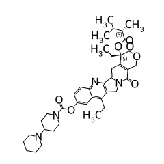 CCc1c2c(nc3ccc(OC(=O)N4CCC(N5CCCCC5)CC4)cc13)-c1cc3c(c(=O)n1C2)COC(=O)[C@@]3(CC)OC(=O)[C@@H](C)C(C)C